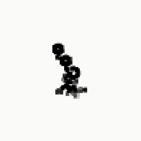 CCC[C@H](C(=O)NO)C(CC(C)C)C(=O)N[C@H]1CCCCN(Cc2cccc(Oc3ccccc3)c2)C1=O